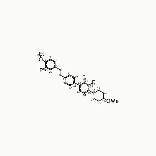 CCOc1ccc(CCc2ccc(-c3ccc(C4CCC(OC)CC4)c(F)c3F)cc2)cc1F